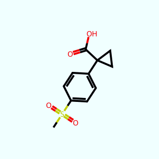 CS(=O)(=O)c1ccc(C2(C(=O)O)CC2)cc1